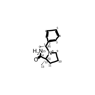 C[C@H](c1ccccc1)N1CCC[C@@]1(C)C(N)=O